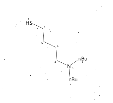 CCCCN(CCCC)CCCCS